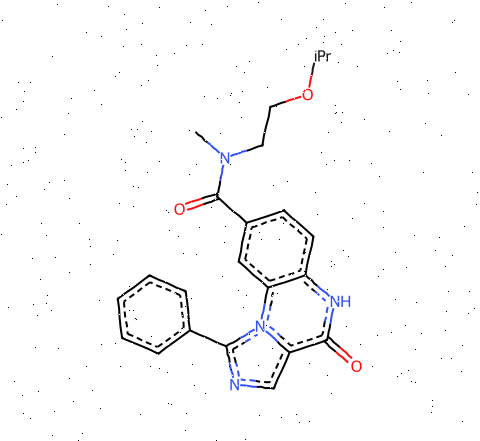 CC(C)OCCN(C)C(=O)c1ccc2[nH]c(=O)c3cnc(-c4ccccc4)n3c2c1